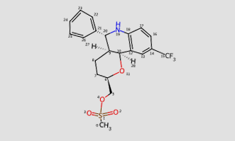 CS(=O)(=O)OC[C@H]1CC[C@@H]2[C@H](O1)c1cc(C(F)(F)F)ccc1N[C@H]2c1ccccc1